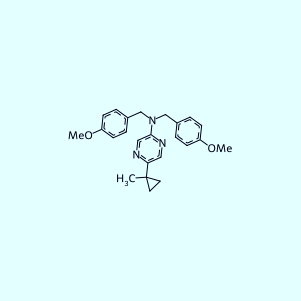 COc1ccc(CN(Cc2ccc(OC)cc2)c2cnc(C3(C)CC3)cn2)cc1